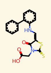 O=C(O)CN1C(=O)/C(=C\Nc2ccccc2-c2ccccc2)SC1=S